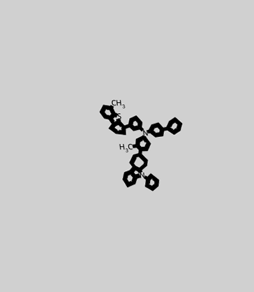 Cc1cc(N(c2ccc(-c3ccccc3)cc2)c2cccc(-c3cccc4c3sc3c(C)cccc34)c2)ccc1C1=CCc2c(c3ccccc3n2-c2ccccc2)C=C1